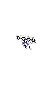 Cc1cnc2c3cc(C4CCCC4)ccc3c3ccc(C4CCCC4)cc3c2n1